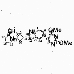 COc1ncc(-c2ccc3nc([C@H]4C[C@H](N5CCC[C@H]5C)C4)sc3c2)c(OC)n1